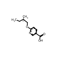 CC[C@H](C)COc1ccc(C(=O)O)cn1